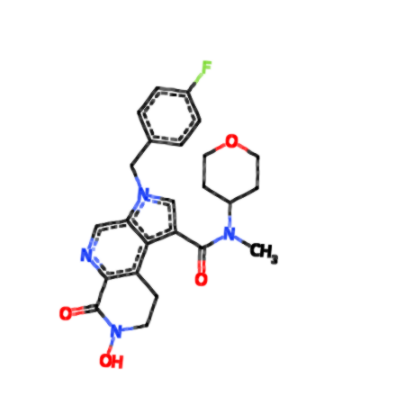 CN(C(=O)c1cn(Cc2ccc(F)cc2)c2cnc3c(c12)CCN(O)C3=O)C1CCOCC1